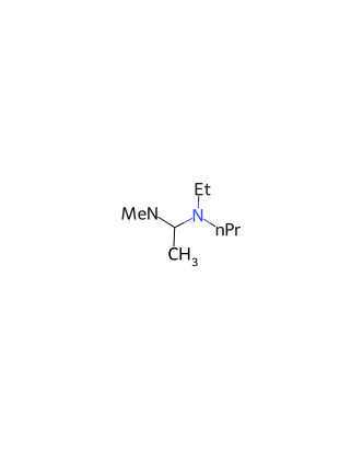 CCCN(CC)C(C)NC